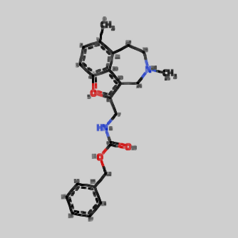 Cc1ccc2oc(CNC(=O)OCc3ccccc3)c3c2c1CCN(C)C3